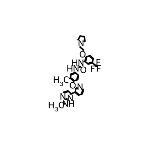 CNc1nccc(-c2cccnc2Oc2ccc(NC(=O)Nc3cc(C(F)(F)F)ccc3OCCN3CCCC3)cc2C)n1